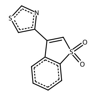 O=S1(=O)C=C(c2cscn2)c2ccccc21